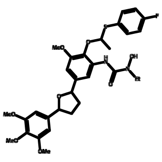 CCN(O)C(=O)Nc1cc(C2CCC(c3cc(OC)c(OC)c(OC)c3)O2)cc(OC)c1OC(C)Sc1ccc(F)cc1